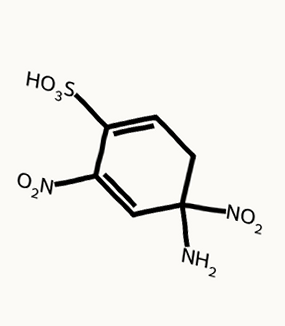 NC1([N+](=O)[O-])C=C([N+](=O)[O-])C(S(=O)(=O)O)=CC1